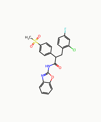 CS(=O)(=O)c1ccc(C(Cc2ccc(F)cc2Cl)C(=O)Nc2nc3ccccc3o2)cc1